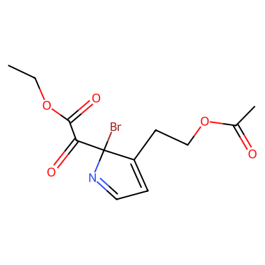 CCOC(=O)C(=O)C1(Br)N=CC=C1CCOC(C)=O